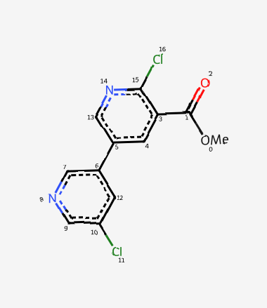 COC(=O)c1cc(-c2cncc(Cl)c2)cnc1Cl